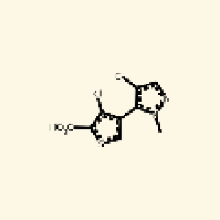 Cn1ncc(Cl)c1-c1csc(C(=O)O)c1Cl